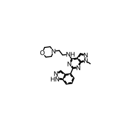 Cn1ncc2c(NCCN3CCOCC3)nc(-c3cccc4[nH]ncc34)nc21